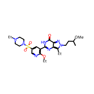 CCOc1ncc(S(=O)(=O)N2CCN(CC)CC2)cc1-c1nc2c(CC)n(CCC(C)OC)nc2c(=O)[nH]1